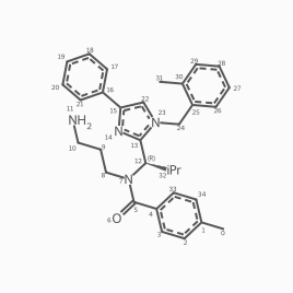 Cc1ccc(C(=O)N(CCCN)[C@@H](c2nc(-c3ccccc3)cn2Cc2ccccc2C)C(C)C)cc1